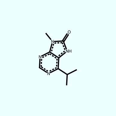 CC(C)c1ncnc2c1[nH]c(=O)n2C